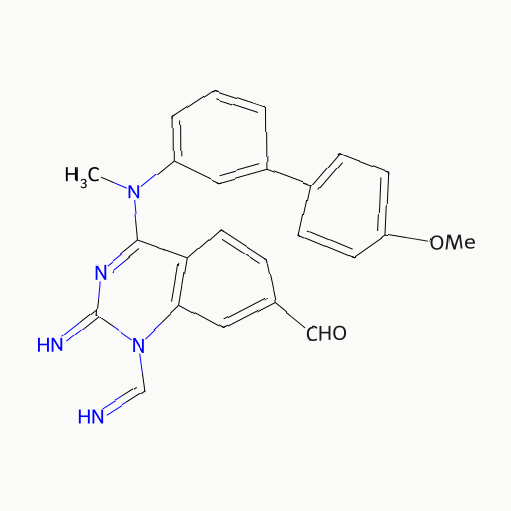 COc1ccc(-c2cccc(N(C)c3nc(=N)n(C=N)c4cc(C=O)ccc34)c2)cc1